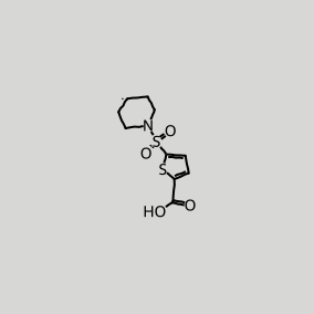 O=C(O)c1ccc(S(=O)(=O)N2CC[CH]CC2)s1